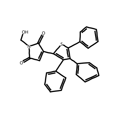 O=C1C=C(c2sc(-c3ccccc3)c(-c3ccccc3)c2-c2ccccc2)C(=O)N1CO